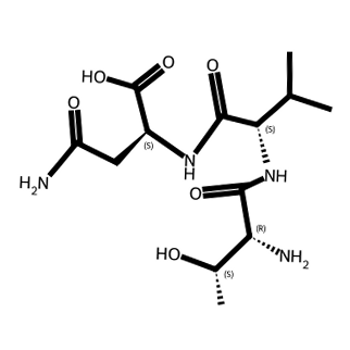 CC(C)[C@H](NC(=O)[C@H](N)[C@H](C)O)C(=O)N[C@@H](CC(N)=O)C(=O)O